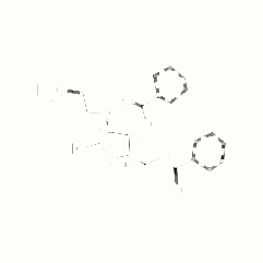 C=CCO[C@@H]1C(O)S[C@H](COC(=O)c2ccccc2)[C@H]1OC(=O)c1ccccc1